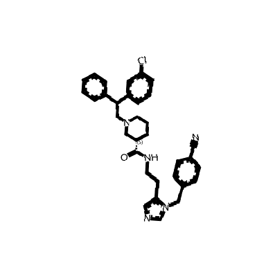 N#Cc1ccc(Cn2cncc2CCNC(=O)[C@H]2CCCN(CC(c3ccccc3)c3cccc(Cl)c3)C2)cc1